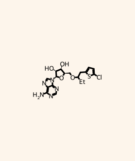 CCC(Cc1ccc(Cl)s1)OC[C@H]1O[C@@H](n2cnc3c(N)ncnc32)[C@H](O)[C@@H]1O